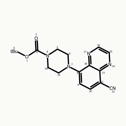 CC(C)(C)OC(=O)N1CCN(c2ccc(C#N)c3nccnc23)CC1